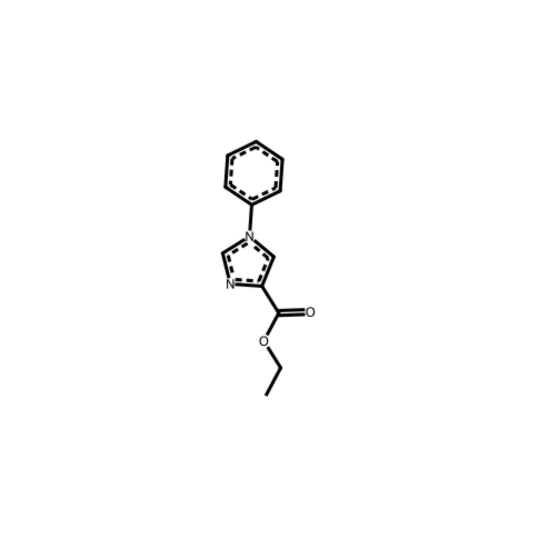 CCOC(=O)c1cn(-c2ccccc2)cn1